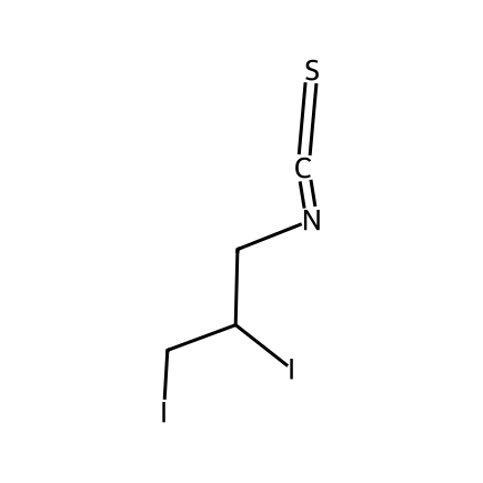 S=C=NCC(I)CI